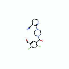 N#Cc1cccnc1N1CCN(C(=O)c2cc(C=O)c(F)cc2F)CC1